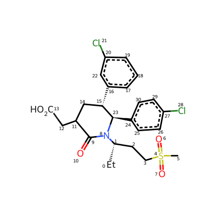 CC[C@@H](CCS(C)(=O)=O)N1C(=O)C(CC(=O)O)C[C@H](c2cccc(Cl)c2)[C@H]1c1ccc(Cl)cc1